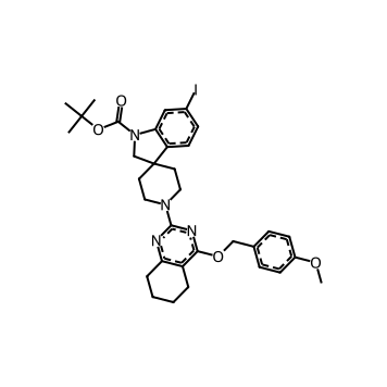 COc1ccc(COc2nc(N3CCC4(CC3)CN(C(=O)OC(C)(C)C)c3cc(I)ccc34)nc3c2CCCC3)cc1